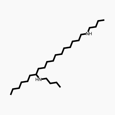 CCCCCCC(CCCCCCCCCCCNCCCC)NCCCC